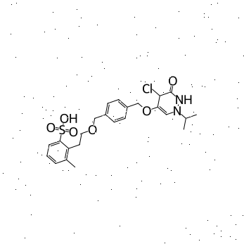 Cc1cccc(S(=O)(=O)O)c1CCOCc1ccc(COC2=CN(C(C)C)NC(=O)C2Cl)cc1